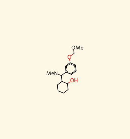 CNC(c1cccc(OCOC)c1)C1CCCCC1O